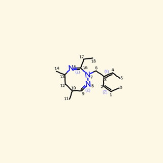 C/C=C\C(=C/C)CN1/N=C\C(C)CC(C)/N=C\1CC